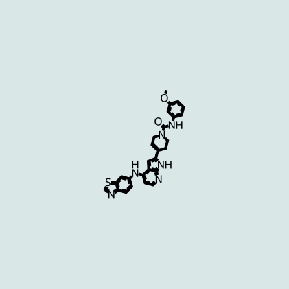 COc1cccc(NC(=O)N2CC=C(c3cc4c(Nc5ccc6ncsc6c5)ccnc4[nH]3)CC2)c1